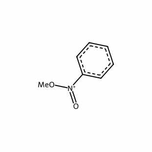 CO[N+](=O)c1ccccc1